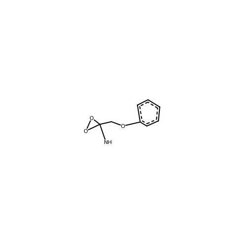 [NH]C1(COc2ccccc2)OO1